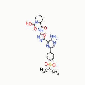 CC(C)S(=O)(=O)c1ccc(-c2cnc(N)c(-c3nnc(NC(=O)C4CCCCN4C(=O)O)o3)n2)cc1